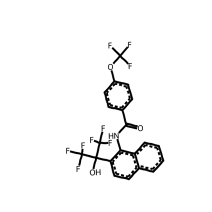 O=C(Nc1c(C(O)(C(F)(F)F)C(F)(F)F)ccc2ccccc12)c1ccc(OC(F)(F)F)cc1